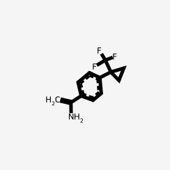 C=C(N)c1ccc(C2(C(F)(F)F)CC2)cc1